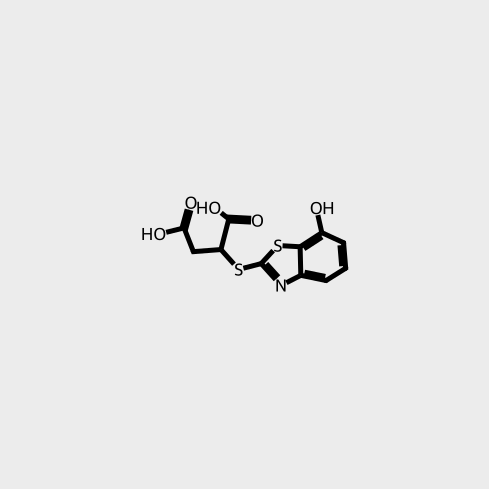 O=C(O)CC(Sc1nc2cccc(O)c2s1)C(=O)O